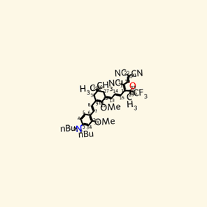 CCCCN(CCCC)c1ccc(/C=C/C2=C(OC)C(=C/C=C/C3=C(C#N)C(=C(C#N)C#N)OC3(C)C(F)(F)F)/CC(C)(C)C2)c(OC)c1